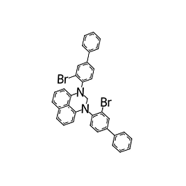 Brc1cc(-c2ccccc2)ccc1N1CN(c2ccc(-c3ccccc3)cc2Br)c2cccc3cccc1c23